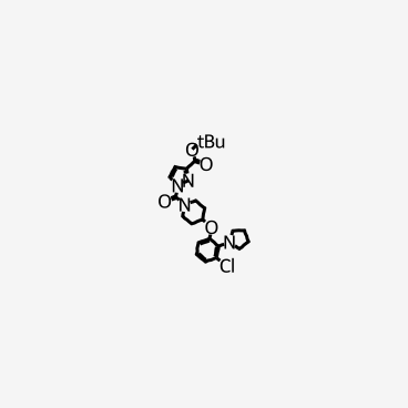 CC(C)(C)OC(=O)c1ccn(C(=O)N2CCC(Oc3cccc(Cl)c3N3CCCC3)CC2)n1